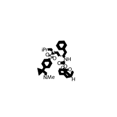 CNCC1(c2ccc(S(=O)(=O)N(CC[C@H](Cc3ccccc3)NC(=O)OC3C4CC5C[C@@H]3COC5O4)CC(C)C)cc2)CC1